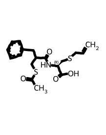 C=CCSC[C@H](NC(=O)C(CSC(C)=O)Cc1ccccc1)C(=O)O